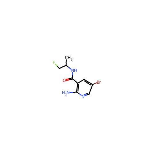 CC(CF)NC(=O)c1cc(Br)cnc1N